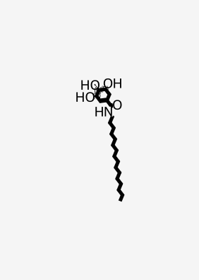 CCCCCCCCCCCCCCCCNC(=O)C1=C[C@@H](O)[C@H](O)[C@H](O)C1